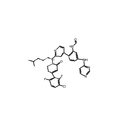 CC(C)CCC[C@@H](c1cc(-c2ccc(Nc3ccncn3)cc2NC=O)ccn1)N1CCC(c2c(F)ccc(Cl)c2F)=CC1=O